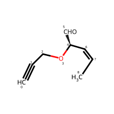 C#CCO[C@@H](C=O)/C=C\C